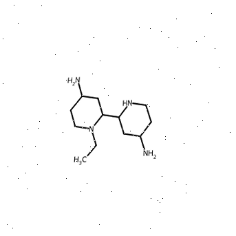 CCN1CCC(N)CC1C1CC(N)CCN1